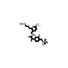 COCCCc1nc(C(F)(F)F)ccc1CNC(=O)C(C)c1ccc(CNS(C)(=O)=O)c(F)c1